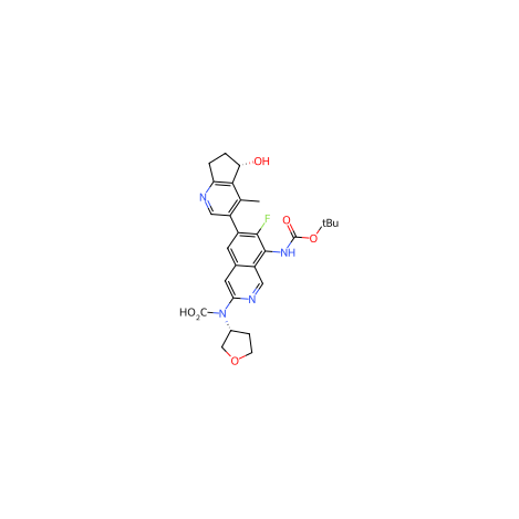 Cc1c(-c2cc3cc(N(C(=O)O)[C@@H]4CCOC4)ncc3c(NC(=O)OC(C)(C)C)c2F)cnc2c1[C@@H](O)CC2